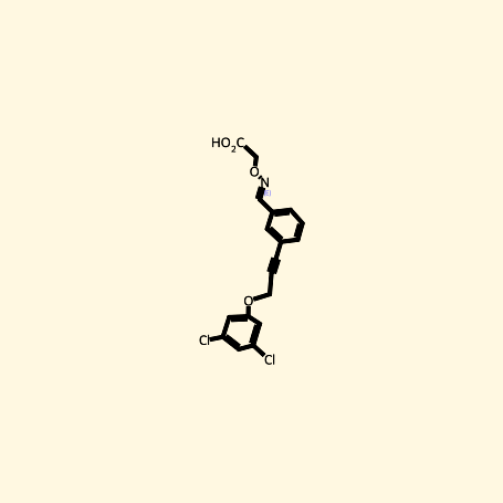 O=C(O)CO/N=C/c1cccc(C#CCOc2cc(Cl)cc(Cl)c2)c1